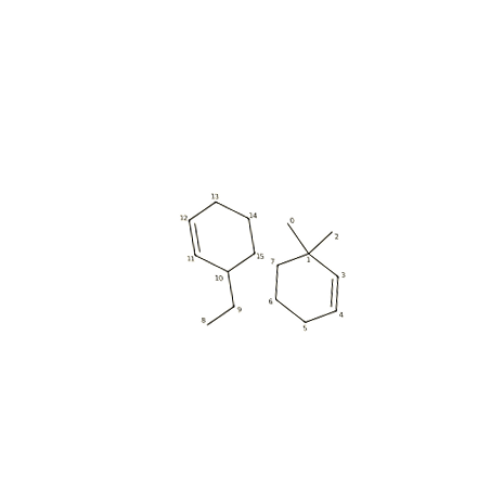 CC1(C)C=CCCC1.CCC1C=CCCC1